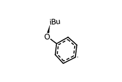 CC[C@H](C)Oc1cc[c]cc1